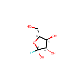 OC[C@H]1O[C@](O)(F)[C@@H](O)[C@@H]1O